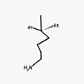 CC[C@](C)(CCCN)C(C)C